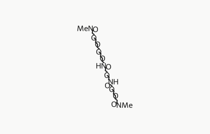 CNC(=O)CCOCCOCCOCCOCCNC(=O)CCOCCNC(=O)COCCOCCC(=O)NC